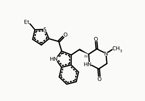 CCc1ccc(C(=O)c2[nH]c3ccccc3c2C[C@@H]2NC(=O)CN(C)C2=O)s1